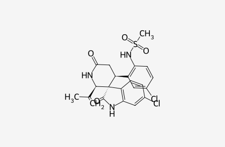 C=C(C)[C@H]1NC(=O)C[C@@H](c2cc(Cl)ccc2NS(C)(=O)=O)[C@]12C(=O)Nc1cc(Cl)ccc12